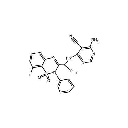 CC(Nc1ncnc(N)c1C#N)C1=Nc2cccc(F)c2S(=O)(=O)N1c1ccccc1